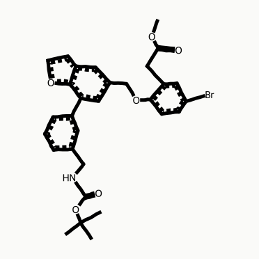 COC(=O)Cc1cc(Br)ccc1OCc1cc(-c2cccc(CNC(=O)OC(C)(C)C)c2)c2occc2c1